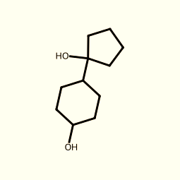 OC1CCC(C2(O)CCCC2)CC1